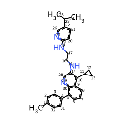 Cc1ccc(-c2cccc3c(C4CC4)c(NCCNc4ccc(C(C)C)cn4)cnc23)cc1